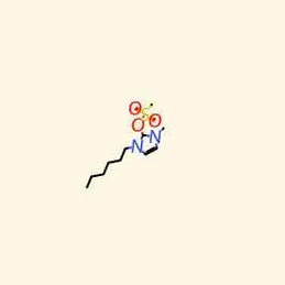 CCCCCCN1C=CN(C)C1OS(C)(=O)=O